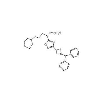 O=C(O)C[C@@H](CCCC1CCCCC1)c1nc(C2CN(C(c3ccccc3)c3ccccc3)C2)no1